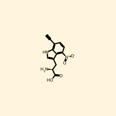 C#Cc1ccc([N+](=O)[O-])c2c(C[C@H](N)C(=O)O)c[nH]c12